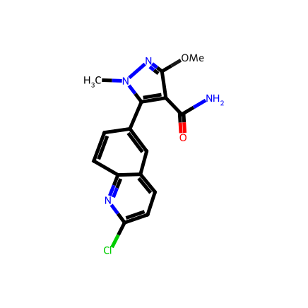 COc1nn(C)c(-c2ccc3nc(Cl)ccc3c2)c1C(N)=O